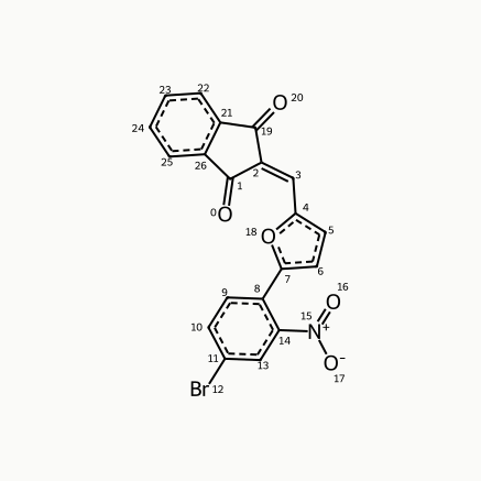 O=C1C(=Cc2ccc(-c3ccc(Br)cc3[N+](=O)[O-])o2)C(=O)c2ccccc21